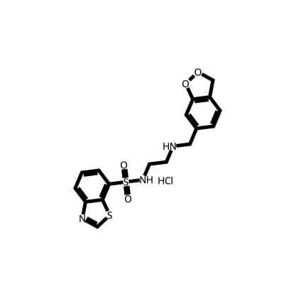 Cl.O=S(=O)(NCCNCc1ccc2c(c1)OOC2)c1cccc2ncsc12